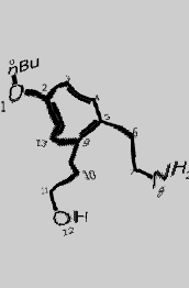 CCCCOc1ccc(CCN)c(CCO)c1